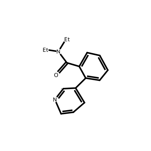 CCN(CC)C(=O)c1ccccc1-c1[c]nccc1